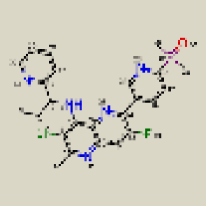 CCC(Nc1c(Cl)c(C)nc2cc(F)c(-c3ccc(P(C)(C)=O)nc3)nc12)c1ccccn1